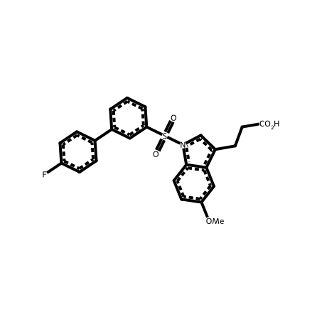 COc1ccc2c(c1)c(CCC(=O)O)cn2S(=O)(=O)c1cccc(-c2ccc(F)cc2)c1